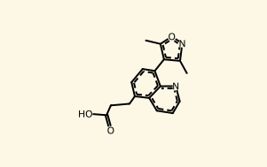 Cc1noc(C)c1-c1ccc(CCC(=O)O)c2cccnc12